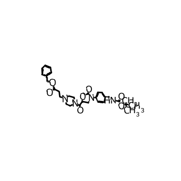 CC(C)(C)OC(=O)NCc1ccc(N2CC(C(=O)N3CCN(CCC(=O)OCc4ccccc4)CC3)OC2=O)cc1